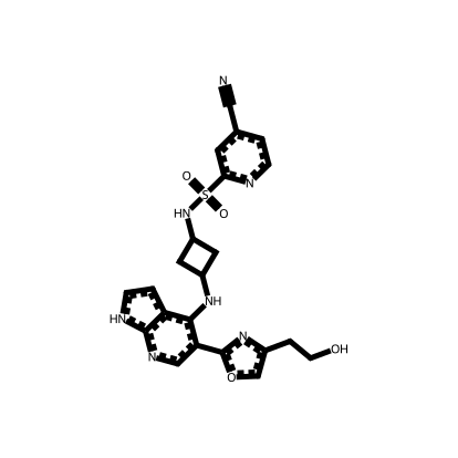 N#Cc1ccnc(S(=O)(=O)NC2CC(Nc3c(-c4nc(CCO)co4)cnc4[nH]ccc34)C2)c1